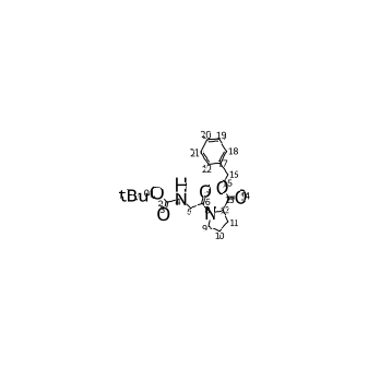 CC(C)(C)OC(=O)NCC(=O)N1CCC[C@@H]1C(=O)OCc1ccccc1